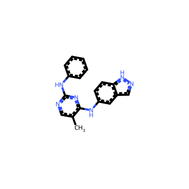 Cc1cnc(Nc2ccccc2)nc1Nc1ccc2[nH]ncc2c1